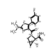 CN(C)c1nc(C(=O)N2CC3C[C@@H]3C2C(N)=O)c(-c2cccc(F)c2)s1